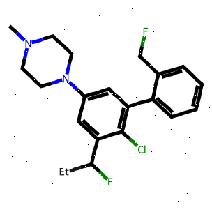 CCC(F)c1cc(N2CCN(C)CC2)cc(-c2ccccc2CF)c1Cl